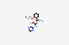 COc1ccccc1C1(C)CC(Nc2cnccn2)C(=O)O1